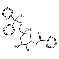 CC(C)(C)[Si](OCC1(O)CC(O)C(O)[C@@H](OC(=O)c2ccccc2)C1)(c1ccccc1)c1ccccc1